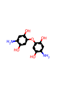 Nc1cc(O)c(Oc2cc(O)c(N)cc2O)cc1O